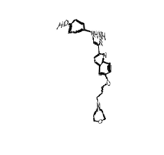 N=N/C(=C\Nc1ccc(O)cc1)c1ccc2cc(OCCCN3CCOCC3)ccc2n1